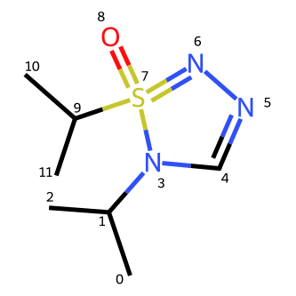 CC(C)N1C=NN=S1(=O)C(C)C